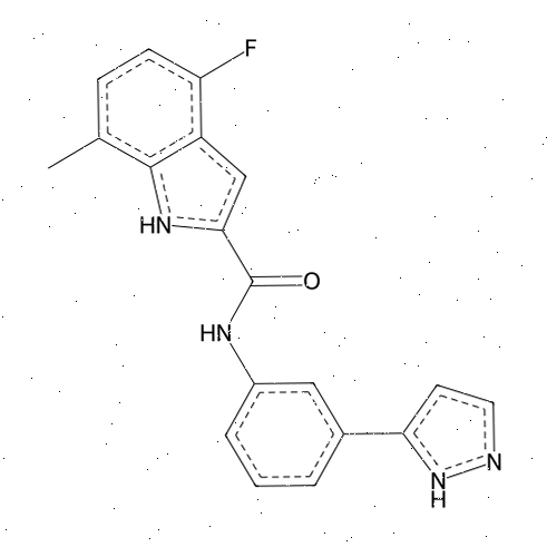 Cc1ccc(F)c2cc(C(=O)Nc3cccc(-c4ccn[nH]4)c3)[nH]c12